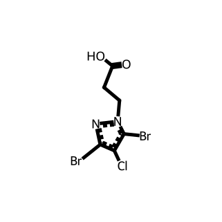 O=C(O)CCn1nc(Br)c(Cl)c1Br